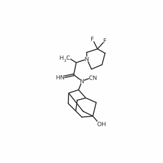 CC(C(=N)N(C#N)C1C2CC3CC1CC(O)(C3)C2)N1CCCC(F)(F)C1